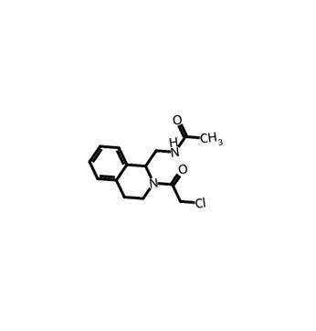 CC(=O)NCC1c2ccccc2CCN1C(=O)CCl